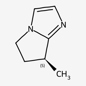 C[C@H]1CCn2ccnc21